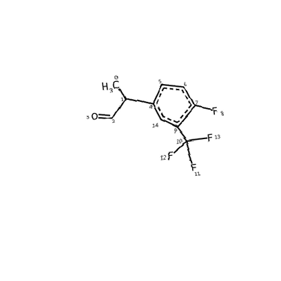 CC(C=O)c1ccc(F)c(C(F)(F)F)c1